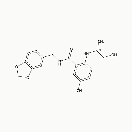 C[C@H](CO)Nc1ccc(C#N)cc1C(=O)NCc1ccc2c(c1)OCO2